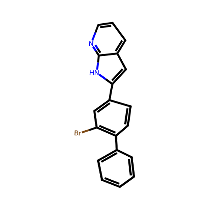 Brc1cc(-c2cc3cccnc3[nH]2)ccc1-c1ccccc1